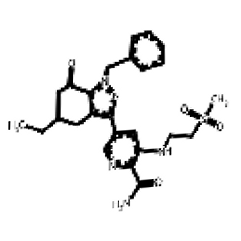 CCC1CC(=O)c2c(c(-c3cnc(C(N)=O)c(NCCS(C)(=O)=O)c3)nn2Cc2ccccc2)C1